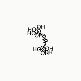 OC[C@H]1O[C@H](C#Cc2ccc(-c3ccc(C#C[C@H]4O[C@H](CO)[C@@H](O)[C@H](O)[C@@H]4O)s3)s2)[C@@H](O)[C@@H](O)[C@@H]1O